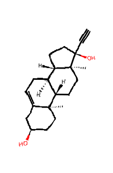 C#C[C@@]1(O)CC[C@H]2[C@@H]3CC=C4C[C@H](O)CC[C@]4(C)[C@H]3CC[C@@]21C